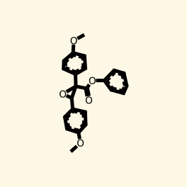 COc1ccc(C2OC2(C(=O)Oc2ccccc2)c2ccc(OC)cc2)cc1